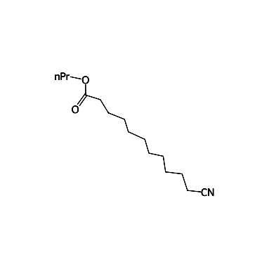 CCCOC(=O)CCCCCCCCCCC#N